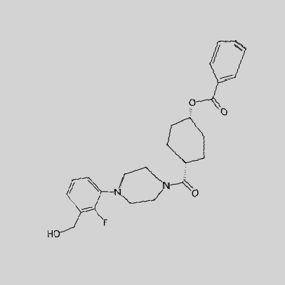 O=C(O[C@H]1CC[C@@H](C(=O)N2CCN(c3cccc(CO)c3F)CC2)CC1)c1ccccc1